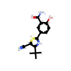 CC(C)(C)c1nc(-c2ccc(O)c(C(N)=O)c2)sc1C#N